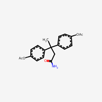 CC(=O)Oc1ccc(C(C)(CC(N)=O)c2ccc(OC(C)=O)cc2)cc1